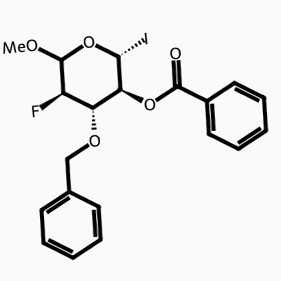 COC1O[C@H](I)[C@@H](OC(=O)c2ccccc2)[C@H](OCc2ccccc2)[C@H]1F